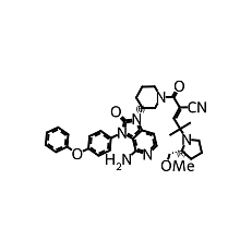 COC[C@H]1CCCN1C(C)(C)C=C(C#N)C(=O)N1CCC[C@@H](n2c(=O)n(-c3ccc(Oc4ccccc4)cc3)c3c(N)nccc32)C1